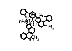 CCCC1=Cc2c(ccc(C)c2-c2ccccc2C(C)C)[CH]1[Zr]([Cl])([Cl])([c]1cccc2c1[SiH2]c1ccccc1-2)[CH]1C(CCC)=Cc2c1ccc(C)c2-c1ccccc1C(C)C